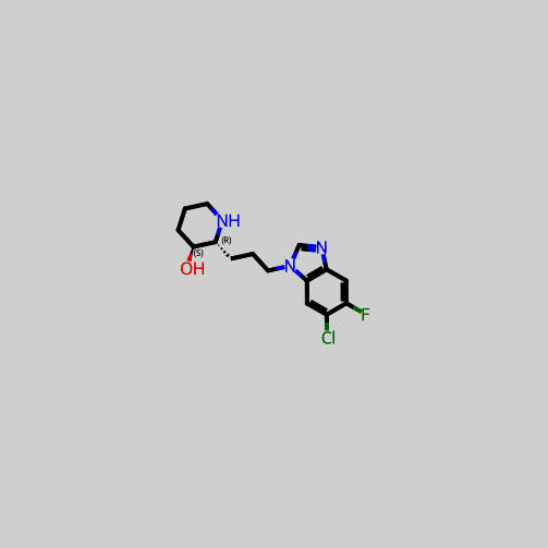 O[C@H]1CCCN[C@@H]1CCCn1cnc2cc(F)c(Cl)cc21